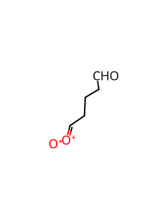 O=CCCCC=[O+][O-]